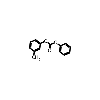 [CH2]c1cccc(OC(=O)Oc2ccccc2)c1